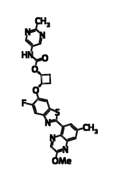 COc1cnc2c(-c3nc4cc(F)c(O[C@@H]5CC[C@@H]5OC(=O)Nc5cnc(C)nc5)cc4s3)cc(C)cc2n1